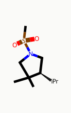 CC(C)[C@@H]1CN(S(C)(=O)=O)CC1(C)C